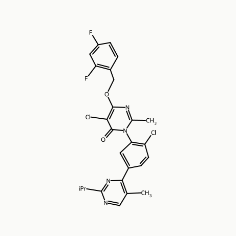 Cc1cnc(C(C)C)nc1-c1ccc(Cl)c(-n2c(C)nc(OCc3ccc(F)cc3F)c(Cl)c2=O)c1